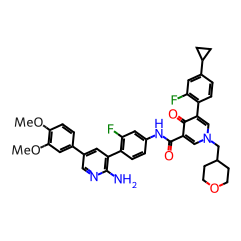 COc1ccc(-c2cnc(N)c(-c3ccc(NC(=O)c4cn(CC5CCOCC5)cc(-c5ccc(C6CC6)cc5F)c4=O)cc3F)c2)cc1OC